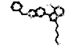 Nc1ncnn2c(CCCCBr)cc(-c3ccc4cn(Cc5ccccc5)nc4c3)c12